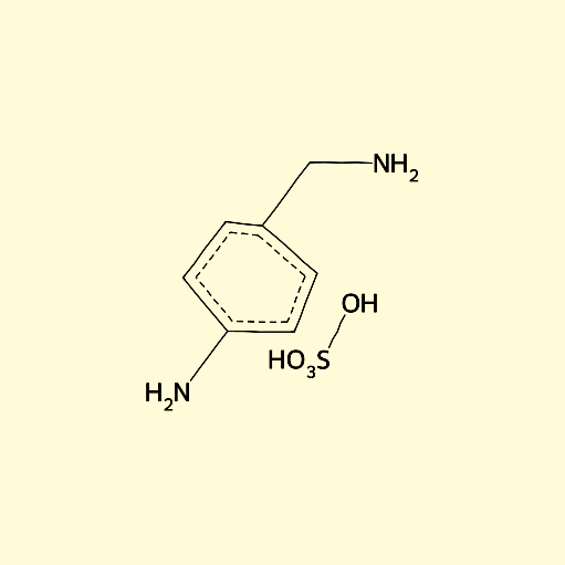 NCc1ccc(N)cc1.O=S(=O)(O)O